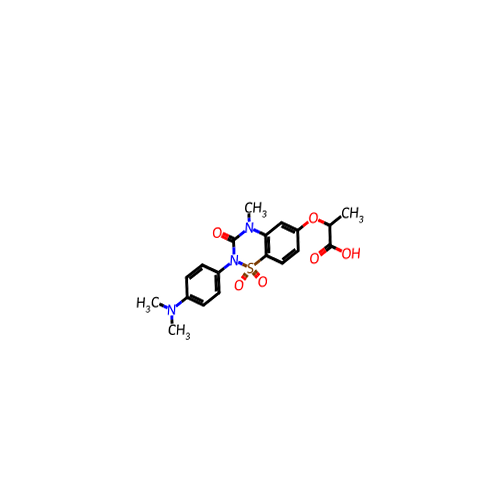 CC(Oc1ccc2c(c1)N(C)C(=O)N(c1ccc(N(C)C)cc1)S2(=O)=O)C(=O)O